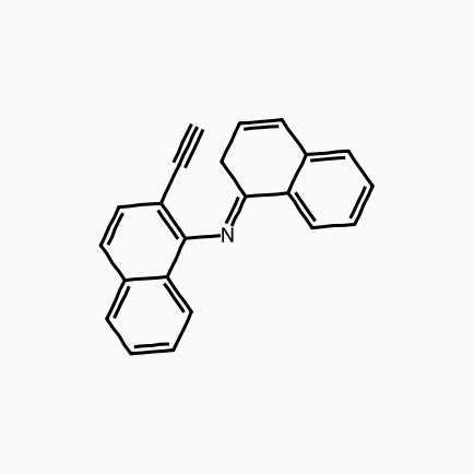 C#Cc1ccc2ccccc2c1/N=C1\CC=Cc2ccccc21